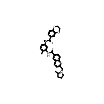 Cc1ccc(NC(=O)c2ccc3c(c2)OCCO3)cc1NC(=O)c1ccc2nc(CN3CCCC3C)ccc2c1